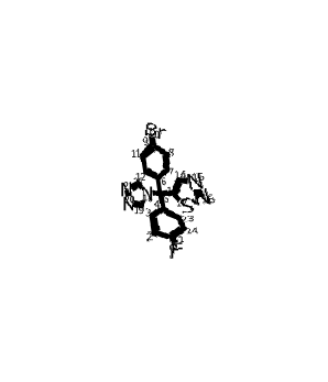 Fc1ccc(C(c2ccc(Br)cc2)(c2cnns2)n2cnnc2)cc1